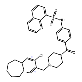 C/C=C(CN1CCN(C(=O)c2ccc(NS(=O)(=O)c3cccc4cccnc34)cc2)CC1)\C(Cl)=C/C1CCCCCC1